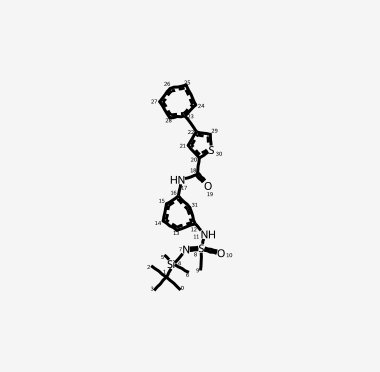 CC(C)(C)[Si](C)(C)N=S(C)(=O)Nc1cccc(NC(=O)c2cc(-c3ccccc3)cs2)c1